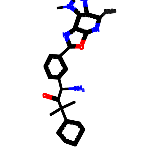 CNc1nc2oc(-c3cccc(C(N)C(=O)C(C)(C)c4ccccc4)c3)nc2c2c1ncn2C